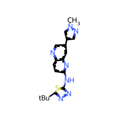 Cn1cc(-c2cnc3ccc(Nc4nnc(C(C)(C)C)s4)nc3c2)cn1